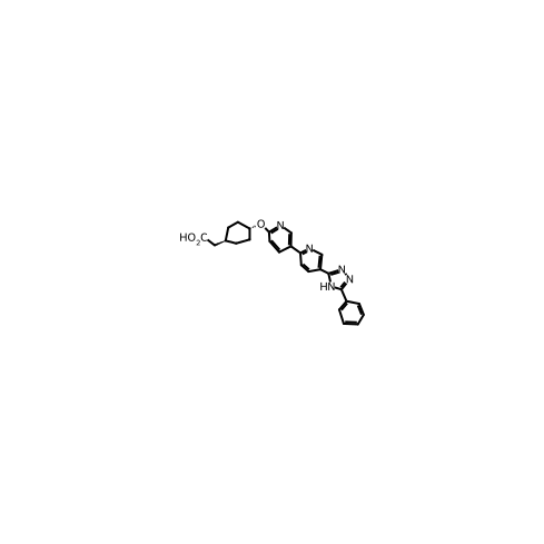 O=C(O)C[C@H]1CC[C@H](Oc2ccc(-c3ccc(-c4nnc(-c5ccccc5)[nH]4)cn3)cn2)CC1